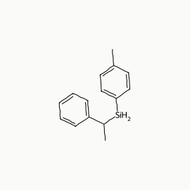 Cc1ccc([SiH2]C(C)c2ccccc2)cc1